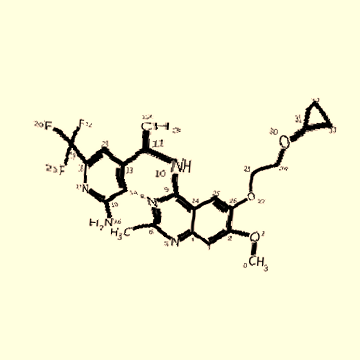 COc1cc2nc(C)nc(NC(C)c3cc(N)nc(C(F)(F)F)c3)c2cc1OCCOC1CC1